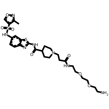 Cc1nocc1S(=O)(=O)Nc1ccc2nc(NC(=O)C3CCN(CCC(=O)NCCOCCOCCN)CC3)sc2c1